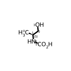 C[C@@H](CO)NC(=O)O